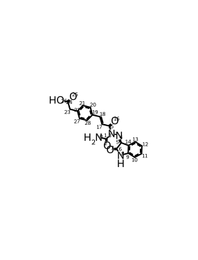 NC(=O)N(/N=C1\C(=O)Nc2ccccc21)C(=O)/C=C/c1ccc(CC(=O)O)cc1